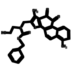 Cc1c(CN(CCO)C(=O)OCc2ccccc2)oc2c1C(=O)C(=O)c1c-2ccc2c(C)cccc12